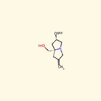 C=C1CN2C[C@H](OC)C[C@]2(CO)C1